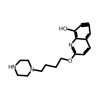 Oc1c#ccc2ccc(OCCCCN3CCNCC3)nc12